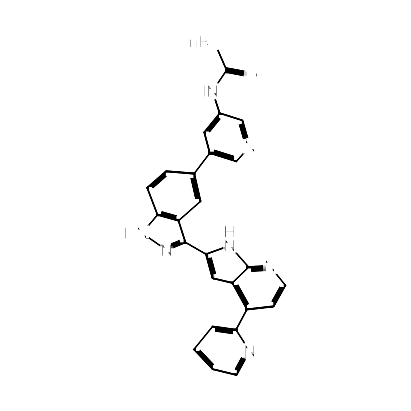 CCCCC(=O)Nc1cncc(-c2ccc3[nH]nc(-c4cc5c(-c6ccccn6)ccnc5[nH]4)c3c2)c1